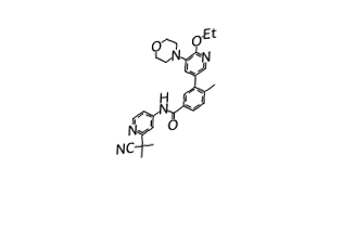 CCOc1ncc(-c2cc(C(=O)Nc3ccnc(C(C)(C)C#N)c3)ccc2C)cc1N1CCOCC1